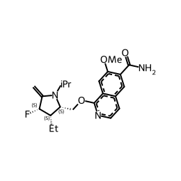 C=C1[C@@H](F)[C@@H](CC)[C@@H](COc2nccc3cc(C(N)=O)c(OC)cc23)N1C(C)C